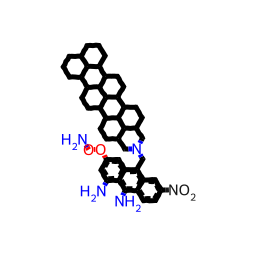 NOOc1cc(N)c2c(N)c3ccc([N+](=O)[O-])cc3c(CN3CC4CCC5C6CCC7C8CCCC9CCCC(C%10CCC(C%11CCC(C3)C4C5%11)C6C7%10)C98)c2c1